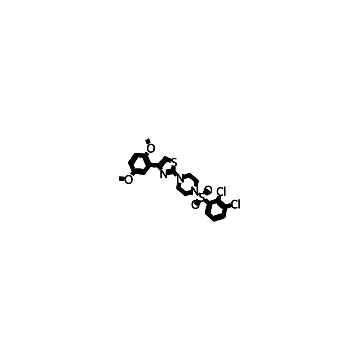 COc1ccc(OC)c(-c2csc(N3CCN(S(=O)(=O)c4cccc(Cl)c4Cl)CC3)n2)c1